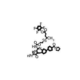 CCCN(CCC)C(=O)C1=Cc2ccc(-c3ccc(C(=O)N4CCCC4)cc3)cc2N=C(NC(=O)OCCSSC(C)CCC(=O)Oc2c(F)c(F)cc(F)c2F)C1